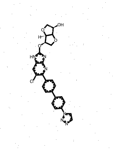 O[C@@H]1CO[C@H]2C1OC[C@H]2Oc1nc2nc(-c3ccc(-c4ccc(-n5ccnn5)cc4)cc3)c(Cl)cc2[nH]1